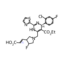 CCOC(=O)C1=C(CN2CC(F)C(/C=C/C(=O)O)C2)NC(c2nccs2)=N[C@H]1c1ccc(F)cc1Cl